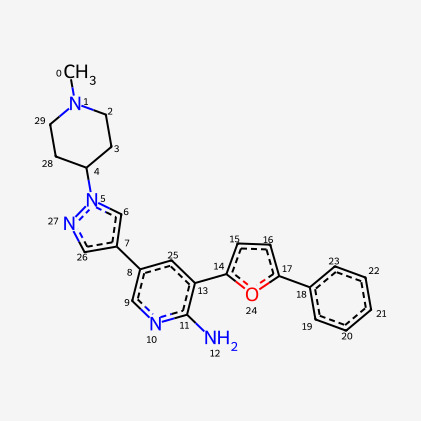 CN1CCC(n2cc(-c3cnc(N)c(-c4ccc(-c5ccccc5)o4)c3)cn2)CC1